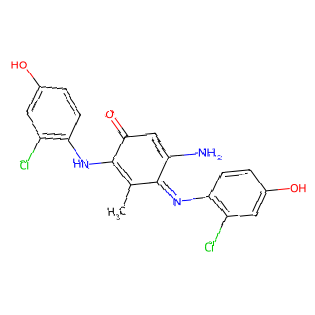 CC1=C(Nc2ccc(O)cc2Cl)C(=O)C=C(N)/C1=N\c1ccc(O)cc1Cl